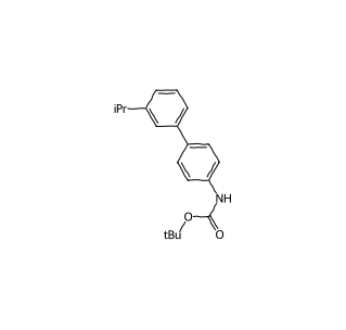 CC(C)c1cccc(-c2ccc(NC(=O)OC(C)(C)C)cc2)c1